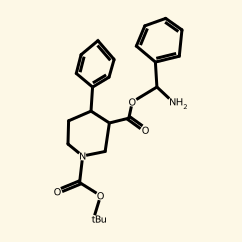 CC(C)(C)OC(=O)N1CCC(c2ccccc2)C(C(=O)OC(N)c2ccccc2)C1